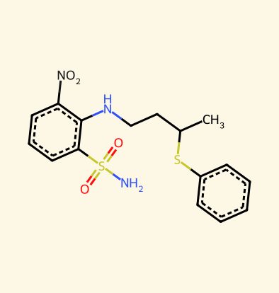 CC(CCNc1c([N+](=O)[O-])cccc1S(N)(=O)=O)Sc1ccccc1